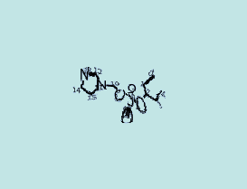 C=CC(CC)OS(=O)(=O)OCN1C=NCC1